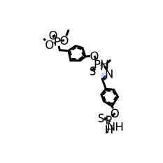 CN[PH](=S)Oc1ccc(/C=N/N(C)[PH](=S)Oc2ccc(CP(=O)(OC)OC)cc2)cc1